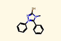 Cn1c(S)n[n+](-c2ccccc2)c1-c1ccccc1